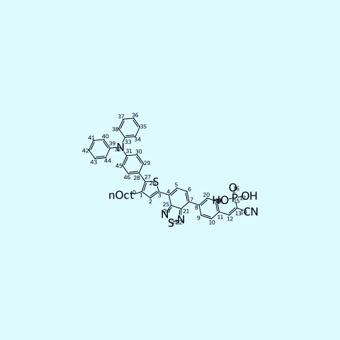 CCCCCCCCc1cc(-c2ccc(-c3ccc(/C=C(/C#N)P(=O)(O)O)cc3)c3nsnc23)sc1-c1ccc(N(c2ccccc2)c2ccccc2)cc1